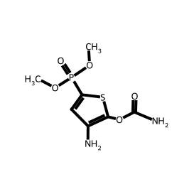 COP(=O)(OC)c1cc(N)c(OC(N)=O)s1